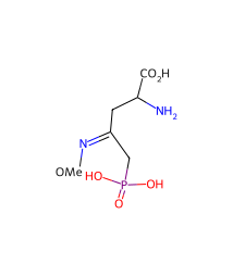 CON=C(CC(N)C(=O)O)CP(=O)(O)O